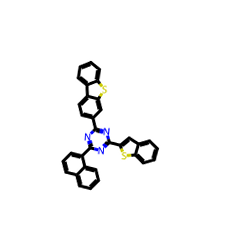 c1ccc2sc(-c3nc(-c4ccc5c(c4)sc4ccccc45)nc(-c4cccc5ccccc45)n3)cc2c1